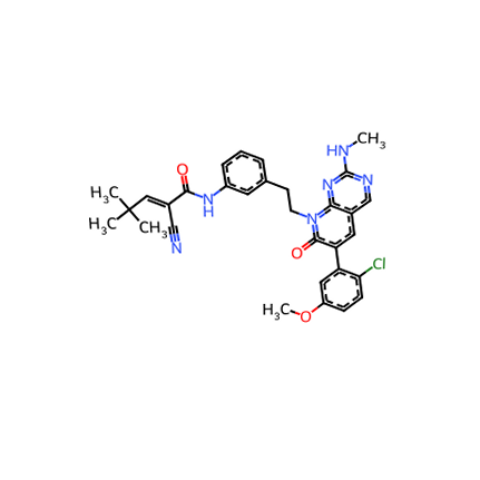 CNc1ncc2cc(-c3cc(OC)ccc3Cl)c(=O)n(CCc3cccc(NC(=O)/C(C#N)=C/C(C)(C)C)c3)c2n1